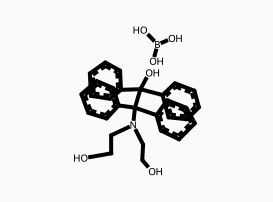 OB(O)O.OCCN(CCO)C(c1ccccc1)(c1ccccc1)C(O)(c1ccccc1)c1ccccc1